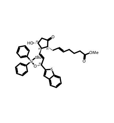 COC(=O)CCCC=CC[C@H]1C(=O)C[C@@H](O)[C@@H]1C=C[C@@H](O[Si](c1ccccc1)(c1ccccc1)C(C)(C)C)c1cc2ccccc2s1